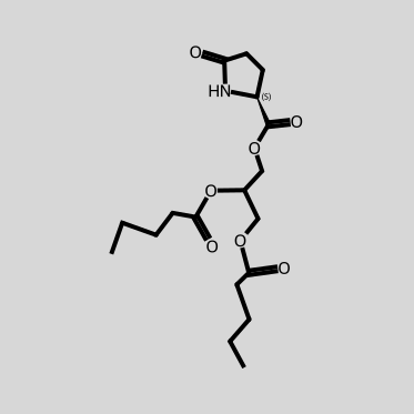 CCCCC(=O)OCC(COC(=O)[C@@H]1CCC(=O)N1)OC(=O)CCCC